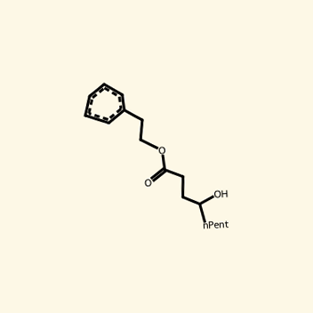 CCCCCC(O)CCC(=O)OCCc1ccccc1